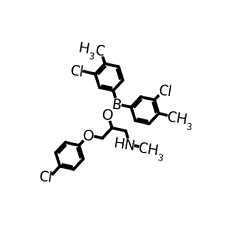 CNCC(COc1ccc(Cl)cc1)OB(c1ccc(C)c(Cl)c1)c1ccc(C)c(Cl)c1